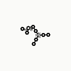 C1=CC2c3cccc(-c4ccc(-c5nc(-c6ccc(-c7ccccc7)cc6)nc(-c6ccc(-c7ccccc7)cc6)n5)cc4)c3OC2c2c1n(-c1ccccc1)c1ccccc21